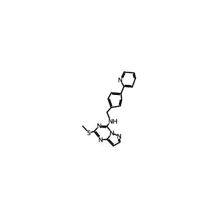 CSc1nc(NCc2ccc(-c3ccccn3)cc2)n2nccc2n1